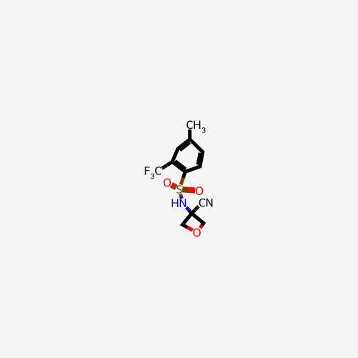 Cc1ccc(S(=O)(=O)NC2(C#N)COC2)c(C(F)(F)F)c1